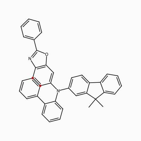 CC1(C)c2ccccc2-c2ccc(N(c3ccc4nc(-c5ccccc5)oc4c3)c3ccccc3-c3ccccc3)cc21